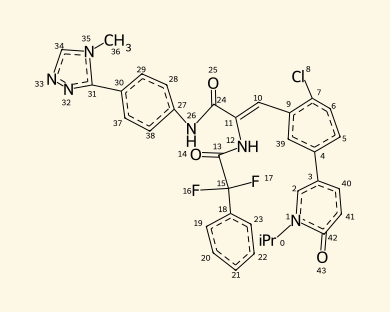 CC(C)n1cc(-c2ccc(Cl)c(C=C(NC(=O)C(F)(F)c3ccccc3)C(=O)Nc3ccc(-c4nncn4C)cc3)c2)ccc1=O